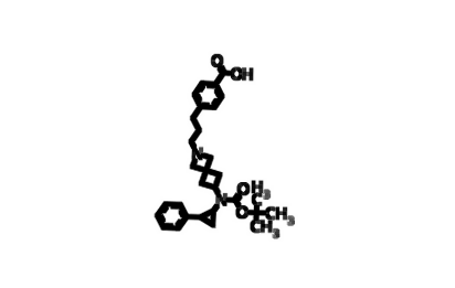 CC(C)(C)OC(=O)N(C1CC2(C1)CN(CCCc1ccc(C(=O)O)cc1)C2)C1CC1c1ccccc1